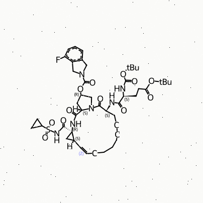 CC(C)(C)OC(=O)CC[C@H](NC(=O)OC(C)(C)C)C(=O)N[C@H]1CCCCCCC/C=C\[C@@H]2C[C@@]2(C(=O)NS(=O)(=O)C2CC2)NC(=O)[C@@H]2C[C@@H](OC(=O)N3Cc4cccc(F)c4C3)CN2C1=O